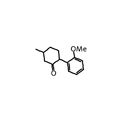 COc1ccccc1C1CCC(C)CC1=O